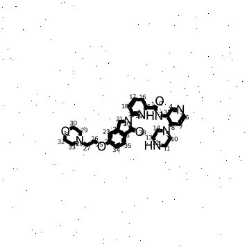 O=C(NC1C=NC=CC1N1CCNCC1)C1CC=CC(N2Cc3cc(OCCN4CCOCC4)ccc3C2=O)=N1